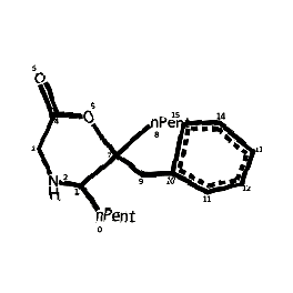 CCCCCC1NCC(=O)OC1(CCCCC)Cc1ccccc1